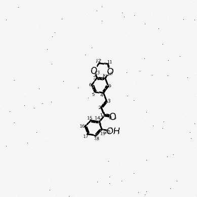 O=C(C=Cc1ccc2c(c1)OCCO2)c1ccccc1O